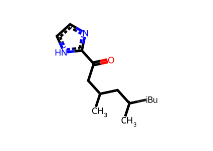 CCC(C)[C](C)CC(C)CC(=O)c1ncc[nH]1